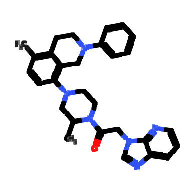 CC1CN(c2ccc(C(F)(F)F)c3c2CN(c2ccccc2)CC3)CCN1C(=O)Cn1cnc2cccnc21